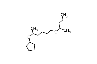 CCCC(C)OCCCCC(C)OC1CCCC1